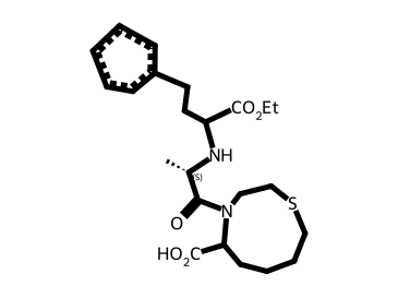 CCOC(=O)C(CCc1ccccc1)N[C@@H](C)C(=O)N1CCSCCCCC1C(=O)O